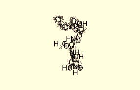 COc1cc(NC(=O)COc2cccc(C(O)(C(=O)OCC3CCN(Cc4ccccc4)CC3)c3ccccc3)c2)ccc1CNC[C@H](O)c1ccc(O)c2[nH]c(=O)ccc12